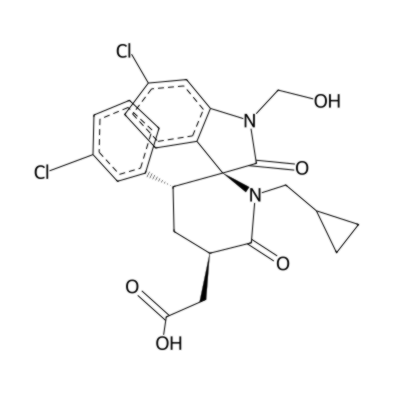 O=C(O)C[C@H]1C[C@H](c2cccc(Cl)c2)[C@]2(C(=O)N(CO)c3cc(Cl)ccc32)N(CC2CC2)C1=O